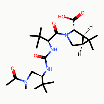 CC(=O)N(C)C[C@@H](NC(=O)N[C@H](C(=O)N1C[C@H]2[C@@H]([C@H]1C(=O)O)C2(C)C)C(C)(C)C)C(C)(C)C